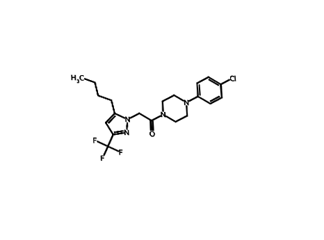 CCCCc1cc(C(F)(F)F)nn1CC(=O)N1CCN(c2ccc(Cl)cc2)CC1